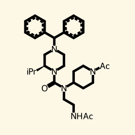 CC(=O)NCCN(C(=O)N1CCN(C(c2ccccc2)c2ccccc2)C[C@@H]1C(C)C)C1CCN(C(C)=O)CC1